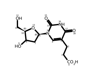 O=C(O)CCc1cn([C@H]2CC(O)[C@@H](CO)O2)c(=O)[nH]c1=O